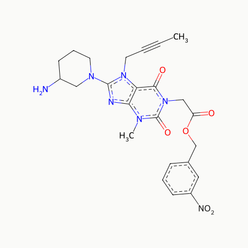 CC#CCn1c(N2CCCC(N)C2)nc2c1c(=O)n(CC(=O)OCc1cccc([N+](=O)[O-])c1)c(=O)n2C